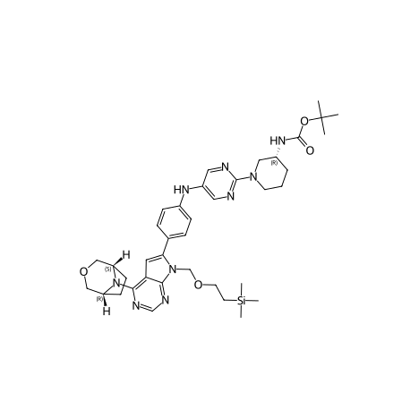 CC(C)(C)OC(=O)N[C@@H]1CCCN(c2ncc(Nc3ccc(-c4cc5c(N6[C@@H]7CC[C@H]6COC7)ncnc5n4COCC[Si](C)(C)C)cc3)cn2)C1